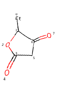 CCC1OC(=O)CC1=O